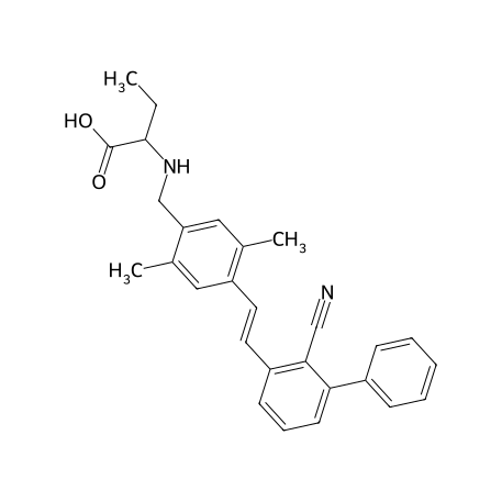 CCC(NCc1cc(C)c(/C=C/c2cccc(-c3ccccc3)c2C#N)cc1C)C(=O)O